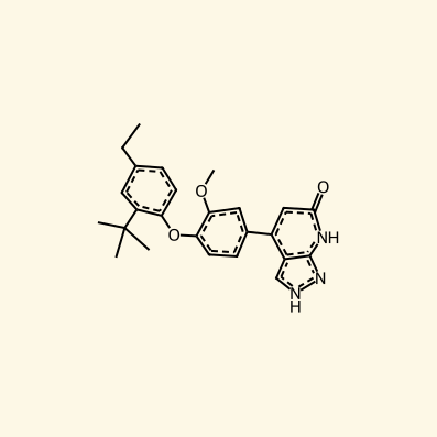 CCc1ccc(Oc2ccc(-c3cc(=O)[nH]c4n[nH]cc34)cc2OC)c(C(C)(C)C)c1